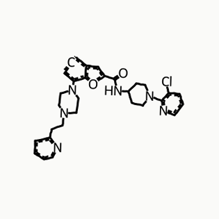 O=C(NC1CCN(c2ncccc2Cl)CC1)c1cc2cccc(N3CCN(CCc4ccccn4)CC3)c2o1